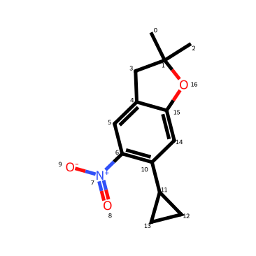 CC1(C)Cc2cc([N+](=O)[O-])c(C3CC3)cc2O1